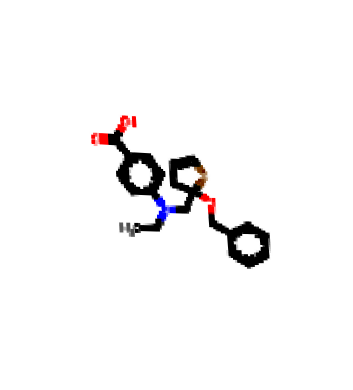 CCN(CC1(OCc2ccccc2)CC=CS1)c1ccc(C(=O)O)cc1